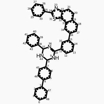 c1ccc(-c2ccc(C3NC(c4cccc(-c5ccc6ccc7nc(-c8ccccc8)sc7c6c5)c4)=NC(c4ccccc4)N3)cc2)cc1